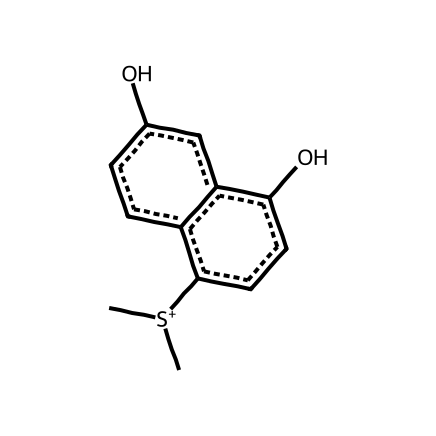 C[S+](C)c1ccc(O)c2cc(O)ccc12